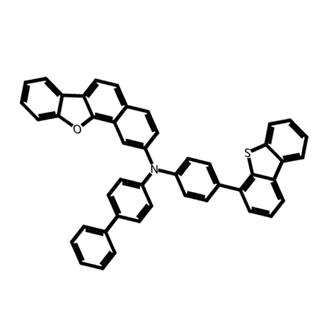 c1ccc(-c2ccc(N(c3ccc(-c4cccc5c4sc4ccccc45)cc3)c3ccc4ccc5c6ccccc6oc5c4c3)cc2)cc1